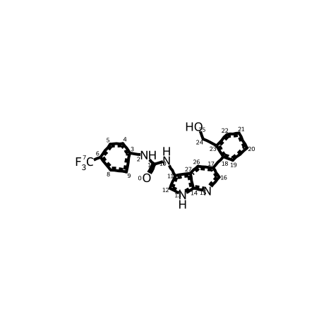 O=C(Nc1ccc(C(F)(F)F)cc1)Nc1c[nH]c2ncc(-c3ccccc3CO)cc12